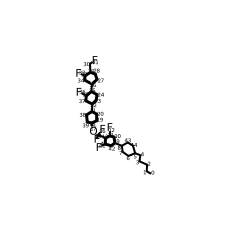 CCCCCC1CCC(c2cc(F)c(C(F)(F)Oc3ccc(-c4ccc(-c5ccc(CF)c(F)c5)c(F)c4)cc3)c(F)c2)CC1